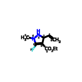 C=CC1NN(C)C(F)=C1C(=O)OCC